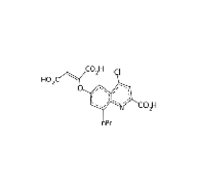 CCCc1cc(O/C(=C\C(=O)O)C(=O)O)cc2c(Cl)cc(C(=O)O)nc12